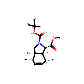 COC(=O)[C@@H]1[C@@H]2[C@H](CN1C(=O)OC(C)(C)C)[C@@H](C)C=C[C@H]2C